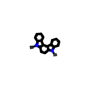 CCn1c2ccccc2c2c3c4ccccc4n(CC)c3ccc21